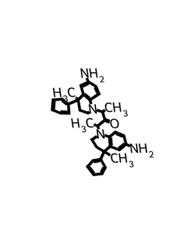 CC(C(=O)C(C)N1CCC(C)(c2ccccc2)c2cc(N)ccc21)N1CCC(C)(c2ccccc2)c2cc(N)ccc21